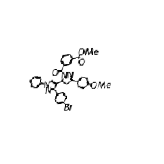 COC(=O)c1cccc(C(=O)N2N=C(c3ccc(OC)cc3)CC2c2cn(-c3ccccc3)nc2-c2ccc(Br)cc2)c1